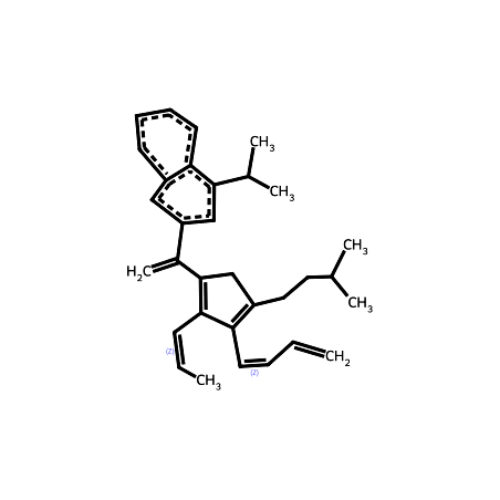 C=C/C=C\C1=C(CCC(C)C)CC(C(=C)c2cc(C(C)C)c3ccccc3c2)=C1/C=C\C